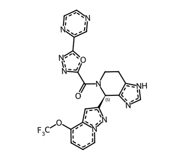 O=C(c1nnc(-c2cnccn2)o1)N1CCc2[nH]cnc2[C@H]1c1cc2c(OC(F)(F)F)cccn2n1